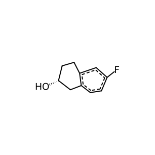 O[C@@H]1CCc2cc(F)ccc2C1